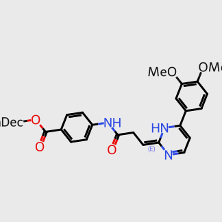 CCCCCCCCCCOC(=O)c1ccc(NC(=O)C/C=C2/N=CC=C(c3ccc(OC)c(OC)c3)N2)cc1